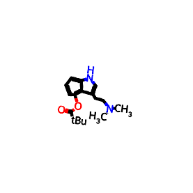 CN(C)CCc1c[nH]c2cccc(OC(=O)C(C)(C)C)c12